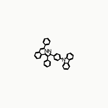 c1ccc(-c2c(-c3ccc(-n4c5ccccc5c5ccccc54)cc3)nn3c(-c4ccccc4)cc4ccccc4c23)cc1